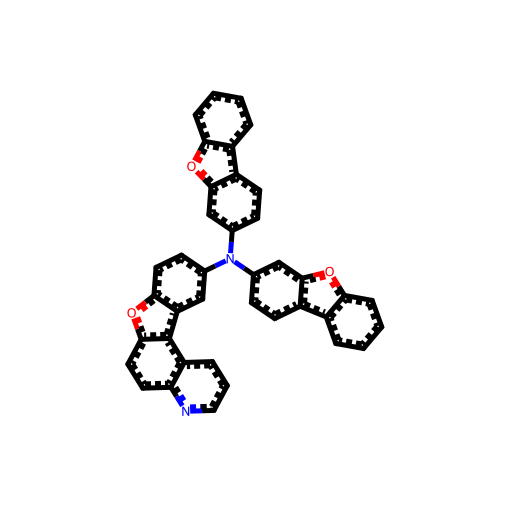 c1ccc2c(c1)oc1cc(N(c3ccc4c(c3)oc3ccccc34)c3ccc4oc5ccc6ncccc6c5c4c3)ccc12